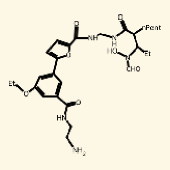 CCCCCC(C(=O)NCNC(=O)c1ccc(-c2cc(OCC)cc(C(=O)NCCN)c2)o1)C(CC)N(O)C=O